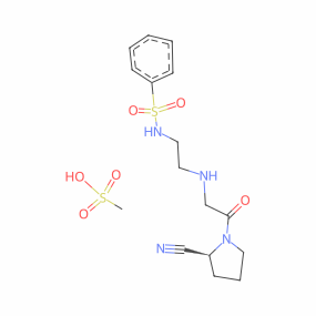 CS(=O)(=O)O.N#C[C@@H]1CCCN1C(=O)CNCCNS(=O)(=O)c1ccccc1